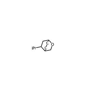 CC(C)C1CC2CCC1CO2